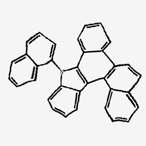 c1ccc2c(-n3c4ccccc4c4c5c6ccccc6ccc5c5ccccc5c43)cccc2c1